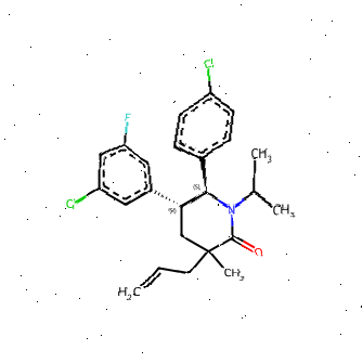 C=CCC1(C)C[C@H](c2cc(F)cc(Cl)c2)[C@@H](c2ccc(Cl)cc2)N(C(C)C)C1=O